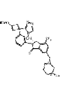 COC1CC(c2cccc(N3Cc4c(cc(CN5CCC[C@H](C)C5)cc4C(F)(F)F)C3=O)c2)(c2nncn2C)C1